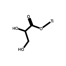 O=C([O][Ti])C(O)CO